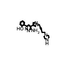 Nc1nnc(-c2ccccc2O)cc1-c1cnn(CC#CCCN2CCNCC2)c1